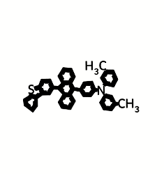 Cc1cccc(N(c2ccc(-c3c4ccccc4c(-c4ccc5sc6ccccc6c5c4)c4ccccc34)cc2)c2cccc(C)c2)c1